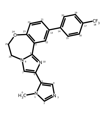 Cn1cncc1-c1cn2c(n1)-c1cc(-c3ccc(C(F)(F)F)cc3)ccc1OCC2